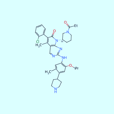 CCC(=O)N1CCC[C@H](n2c(=O)c(-c3ccccc3Cl)c(C)c3cnc(Nc4cc(C)c(C5CCNCC5)cc4OC(C)C)nc32)C1